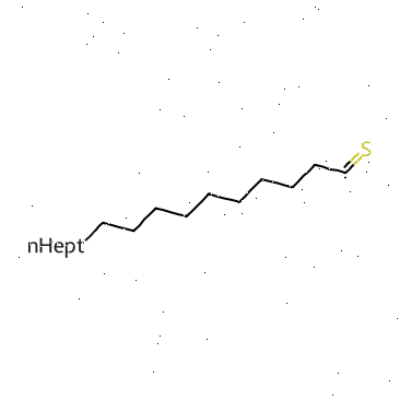 CCCCCCCCCCCCCCCC[C]=S